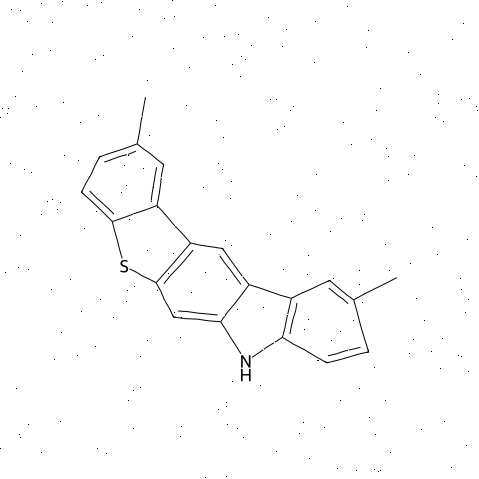 Cc1ccc2[nH]c3cc4sc5ccc(C)cc5c4cc3c2c1